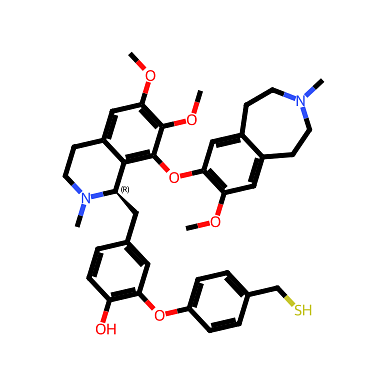 COc1cc2c(cc1Oc1c(OC)c(OC)cc3c1[C@@H](Cc1ccc(O)c(Oc4ccc(CS)cc4)c1)N(C)CC3)CCN(C)CC2